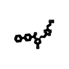 O=C1C[C@@H](CCc2nc(CCO)no2)N(C(=O)c2ccc(-c3ccccc3)cc2)C1